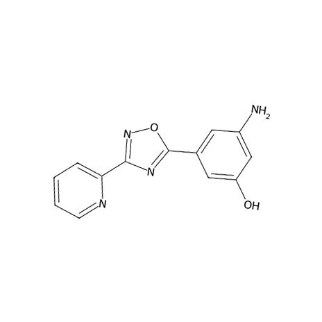 Nc1cc(O)cc(-c2nc(-c3ccccn3)no2)c1